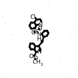 COC(=O)c1ncc(C#Cc2ccccc2NS(=O)(=O)c2cccc3c(Cl)ccnc23)c2ccccc12